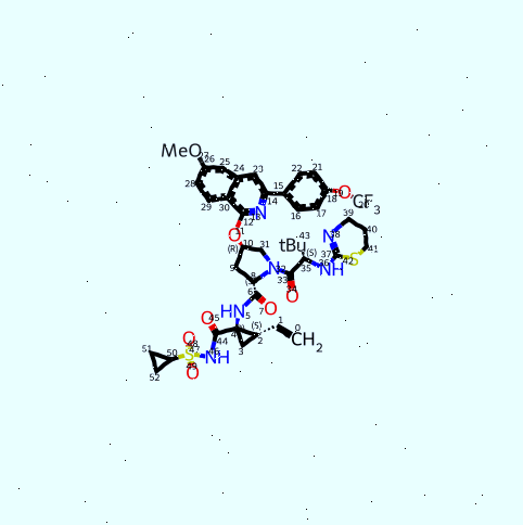 C=C[C@@H]1C[C@]1(NC(=O)[C@@H]1C[C@@H](Oc2nc(-c3ccc(OC(F)(F)F)cc3)cc3cc(OC)ccc23)CN1C(=O)[C@@H](NC1=NCCCS1)C(C)(C)C)C(=O)NS(=O)(=O)C1CC1